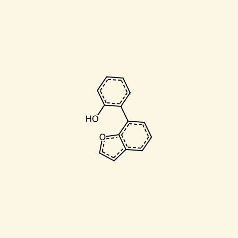 Oc1ccccc1-c1cccc2ccoc12